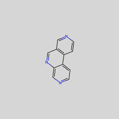 c1cc2c(cn1)cnc1cnccc12